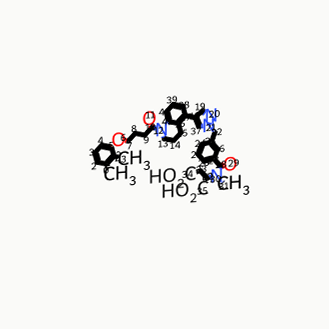 Cc1cccc(OCCCC(=O)N2CCCc3c(-c4cnn(Cc5cccc(C(=O)N(C)[C@@H](CC(=O)O)C(=O)O)c5)c4)cccc32)c1C